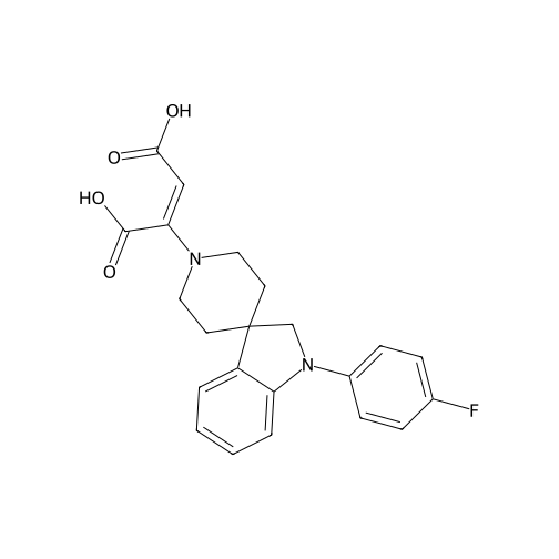 O=C(O)C=C(C(=O)O)N1CCC2(CC1)CN(c1ccc(F)cc1)c1ccccc12